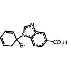 O=C(O)c1ccc2c(c1)ncn2C1(Br)C=CC=CC1